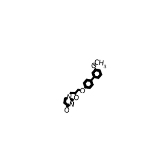 COc1cccc(-c2ccc(OCC3Cn4ccc(=O)nc4O3)cc2)c1